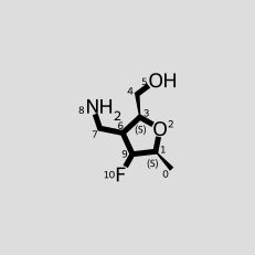 C[C@@H]1O[C@H](CO)C(CN)C1F